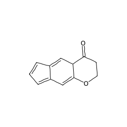 O=C1CCOC2=CC3=CC=CC3=CC12